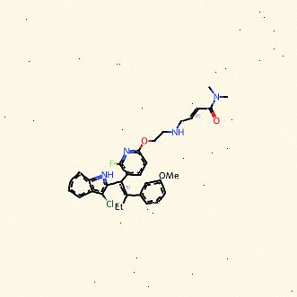 CC/C(=C(/c1ccc(OCCNC/C=C/C(=O)N(C)C)nc1F)c1[nH]c2ccccc2c1Cl)c1cccc(OC)c1